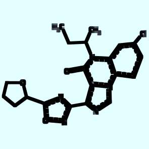 CCC(C)n1c(=O)c2c(-c3noc(C4CCCO4)n3)ncn2c2ccc(Cl)cc21